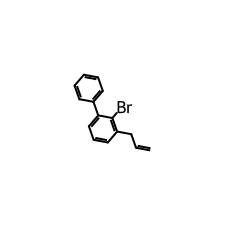 C=CCc1cccc(-c2ccccc2)c1Br